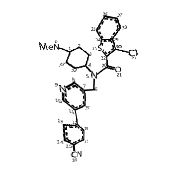 CNC1CCC(N(Cc2cncc(-c3ccc(C#N)cc3)c2)C(=O)c2sc3ccccc3c2Cl)CC1